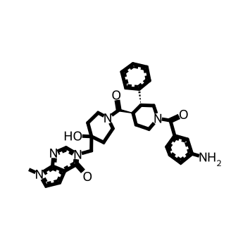 Cn1ccc2c(=O)n(CC3(O)CCN(C(=O)[C@@H]4CCN(C(=O)c5cccc(N)c5)C[C@H]4c4ccccc4)CC3)cnc21